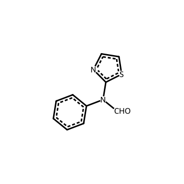 O=CN(c1ccccc1)c1nccs1